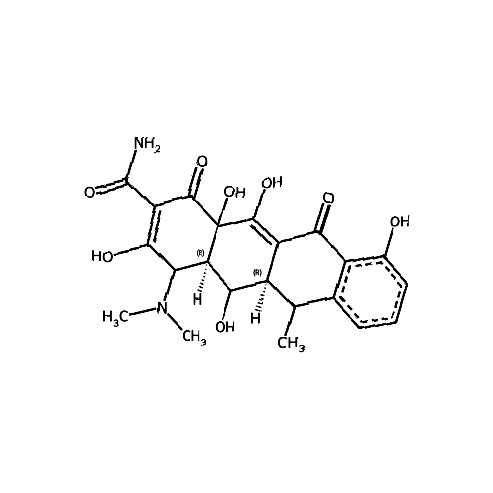 CC1c2cccc(O)c2C(=O)C2=C(O)C3(O)C(=O)C(C(N)=O)=C(O)C(N(C)C)[C@@H]3C(O)[C@@H]21